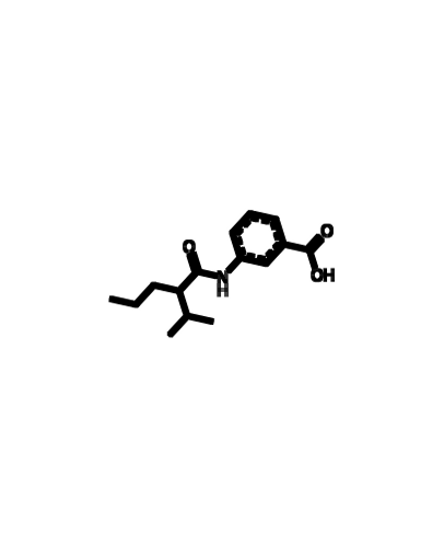 CCCC(C(=O)Nc1cccc(C(=O)O)c1)C(C)C